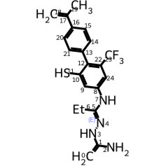 C=C(N)N/N=C(\CC)Nc1cc(S)c(-c2ccc(C(=C)C)cc2)c(C(F)(F)F)c1